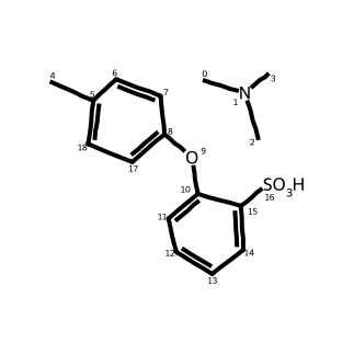 CN(C)C.Cc1ccc(Oc2ccccc2S(=O)(=O)O)cc1